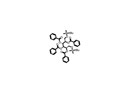 CC(C)(C)[Si](C)(C)OC[C@@H](OC(=O)c1ccccc1)[C@@H](OC(=O)c1ccccc1)[C@H](OC(=O)c1ccccc1)[C@@H](CO[Si](C)(C)C(C)(C)C)OC(=O)c1ccccc1